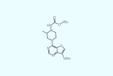 CSc1csc2c(N3CCC(NC(=O)OC(C)(C)C)C(C)C3)ncnc12